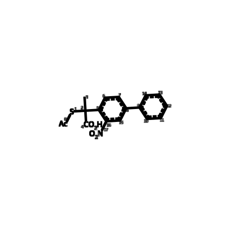 CC(=O)SC(C)(C(=O)O)c1ccc(-c2ccccc2)cc1[N+](=O)[O-]